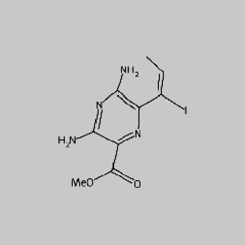 C/C=C(/I)c1nc(C(=O)OC)c(N)nc1N